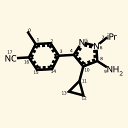 Cc1cc(-c2nn(C(C)C)c(N)c2C2CC2)ccc1C#N